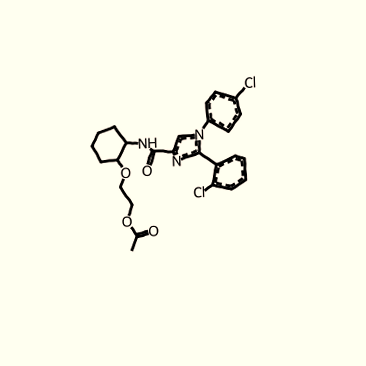 CC(=O)OCCOC1CCCCC1NC(=O)c1cn(-c2ccc(Cl)cc2)c(-c2ccccc2Cl)n1